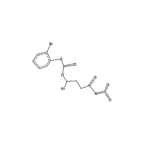 CCC(CCC(=O)N=S(=O)=O)OC(=O)Oc1ccccc1Br